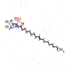 CCCCCCCC/C=C/CCCCCCCC(=O)N[C@@H](CO)C(C)C